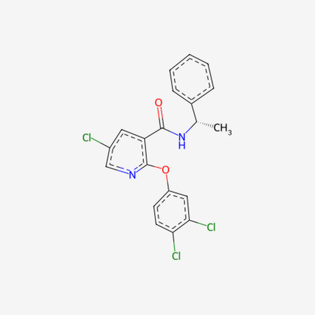 C[C@H](NC(=O)c1cc(Cl)cnc1Oc1ccc(Cl)c(Cl)c1)c1ccccc1